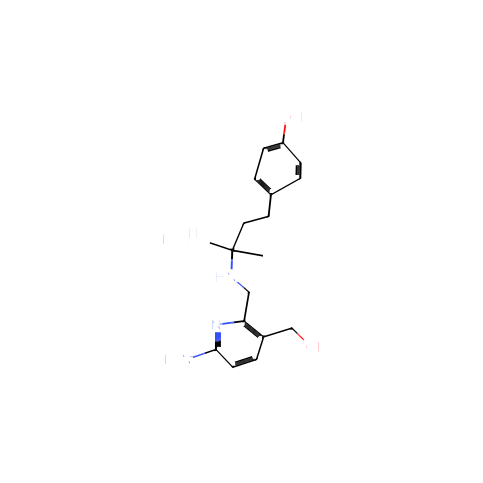 CC(C)(CCc1ccc(O)cc1)NCc1nc(N)ccc1CO.Cl.Cl